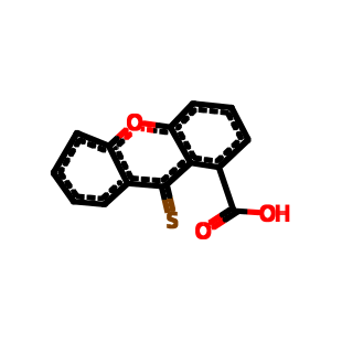 O=C(O)c1cccc2oc3ccccc3c(=S)c12